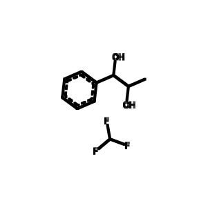 CC(O)C(O)c1ccccc1.FC(F)F